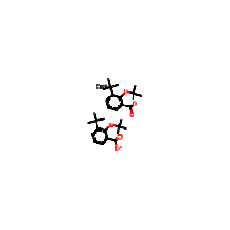 CC(C)(C)Oc1c(C(=O)[O-])cccc1C(C)(C)C.CC(C)(C)Oc1c(C(=O)[O-])cccc1C(C)(C)C.[Co+2]